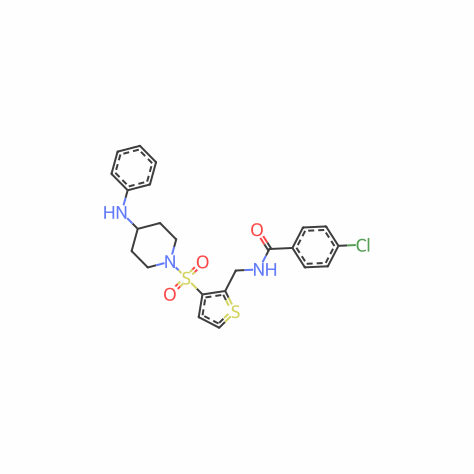 O=C(NCc1sccc1S(=O)(=O)N1CCC(Nc2ccccc2)CC1)c1ccc(Cl)cc1